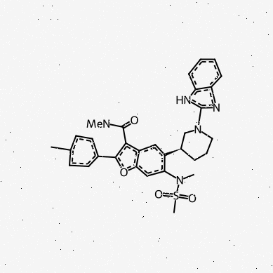 CNC(=O)c1c(-c2ccc(C)cc2)oc2cc(N(C)S(C)(=O)=O)c([C@@H]3CCCN(c4nc5ccccc5[nH]4)C3)cc12